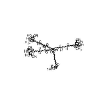 CC(=O)NC1C(OCCCCC(=O)NCCCNC(=O)CCOCC(COCCC(=O)NCCCNC(=O)CCCCOC2OC(CO)C(O)C(O)C2NC(C)=O)(COCCC(=O)NCCCNC(=O)CCCCOC2OC(CO)C(O)C(O)C2NC(C)=O)NC(=O)CCCCCCCCCCC(=O)N2CC[C@H](O[PH](O)=S)C2)CC(CO)C(O)C1O